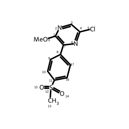 COc1ncc(Cl)nc1-c1ccc(S(C)(=O)=O)cc1